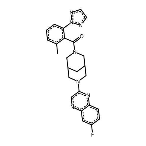 Cc1cccc(-n2nccn2)c1C(=O)N1CC2CC(C1)CN(c1cnc3cc(F)ccc3n1)C2